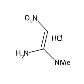 CNC(N)=C[N+](=O)[O-].Cl